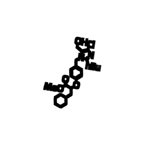 CCCCc1nc(Cl)c(CO)n1Cc1ccc(OC(CC2CCCCC2)C(=O)OC)cc1